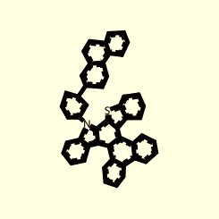 c1cc(-c2ccc3c(ccc4ccccc43)c2)cc(-n2c3ccccc3c3c4c5ccccc5c5ccccc5c4c4c5ccccc5sc4c32)c1